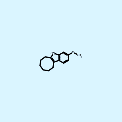 COc1ccc2c3c([nH]c2c1)CCCCCC3